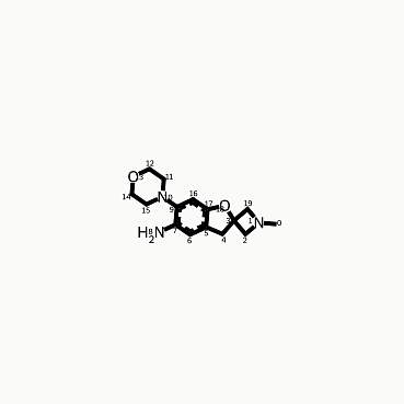 CN1CC2(Cc3cc(N)c(N4CCOCC4)cc3O2)C1